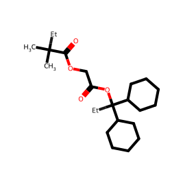 CCC(C)(C)C(=O)OCC(=O)OC(CC)(C1CCCCC1)C1CCCCC1